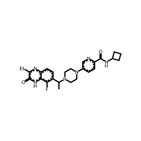 CCc1nc2ccc(C(C)N3CCN(c4ccc(C(=O)NC5CCC5)nc4)CC3)c(F)c2[nH]c1=O